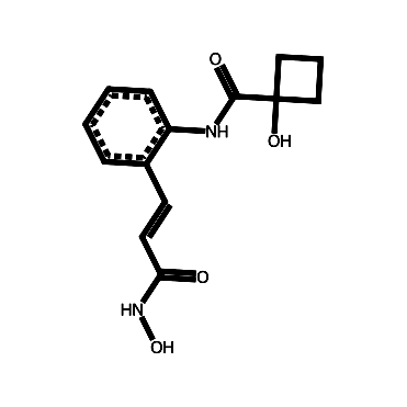 O=C(C=Cc1ccccc1NC(=O)C1(O)CCC1)NO